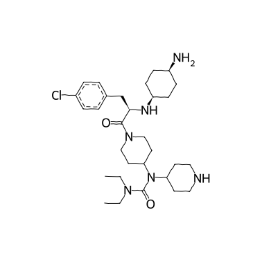 CCN(CC)C(=O)N(C1CCNCC1)C1CCN(C(=O)[C@@H](Cc2ccc(Cl)cc2)N[C@H]2CC[C@@H](N)CC2)CC1